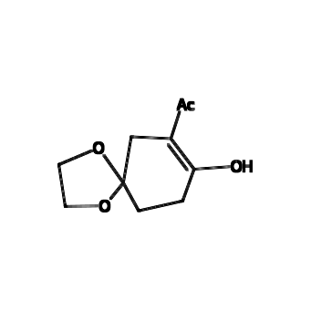 CC(=O)C1=C(O)CCC2(C1)OCCO2